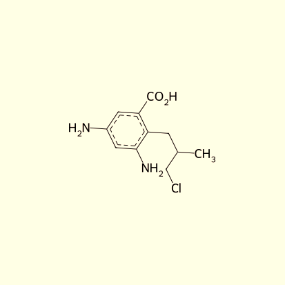 CC(CCl)Cc1c(N)cc(N)cc1C(=O)O